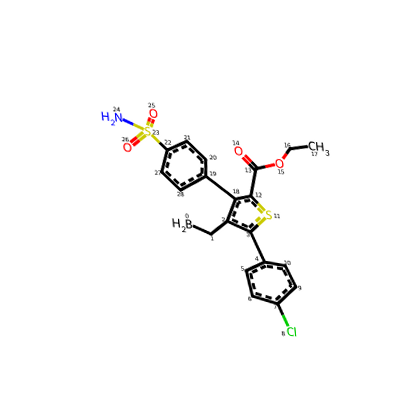 BCc1c(-c2ccc(Cl)cc2)sc(C(=O)OCC)c1-c1ccc(S(N)(=O)=O)cc1